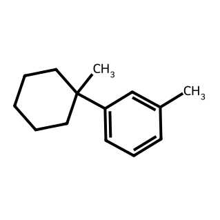 Cc1cccc(C2(C)CCCCC2)c1